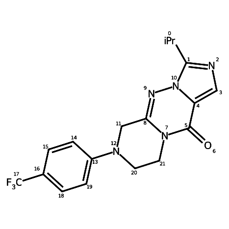 CC(C)c1ncc2c(=O)n3c(nn12)CN(c1ccc(C(F)(F)F)cc1)CC3